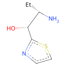 CC[C@H](N)[C@@H](O)c1nccs1